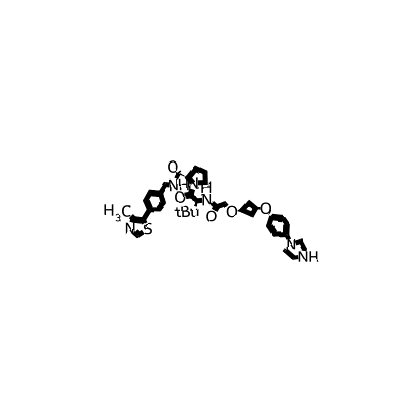 Cc1ncsc1-c1ccc(CNC(=O)[C@@H]2CCCN2C(=O)[C@@H](NC(=O)CO[C@H]2C[C@H](Oc3ccc(N4CCNCC4)cc3)C2)C(C)(C)C)cc1